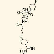 N=C(N)c1ccc(OCCCC(=O)NC[C@H](NS(=O)(=O)c2ccc(F)cc2)C(=O)O)cc1